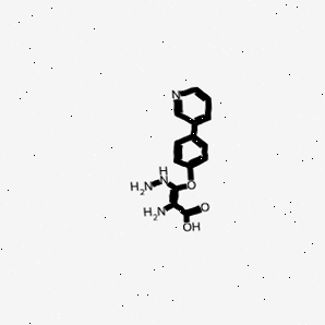 NN/C(Oc1ccc(-c2cccnc2)cc1)=C(\N)C(=O)O